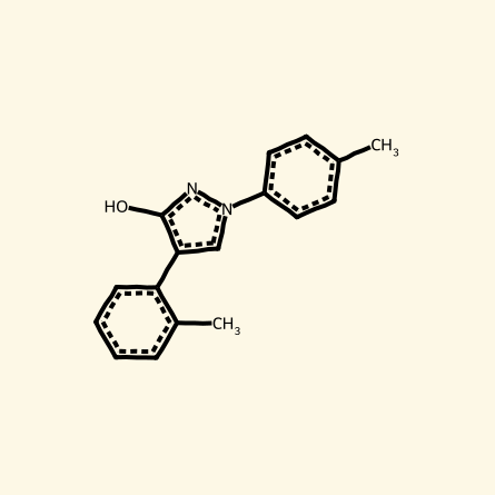 Cc1ccc(-n2cc(-c3ccccc3C)c(O)n2)cc1